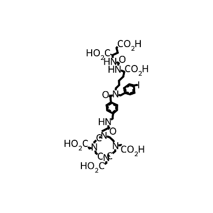 O=C(O)CC[C@@H](NC(=O)NC(CCCCN(Cc1ccc(I)cc1)C(=O)c1ccc(CNC(=O)CN2CCN(CC(=O)O)CCN(CC(=O)O)CCN(CC(=O)O)CC2)cc1)C(=O)O)C(=O)O